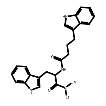 CCN(C#N)C(=O)C(Cc1c[nH]c2ccccc12)NC(=O)CCCc1c[nH]c2ccccc12